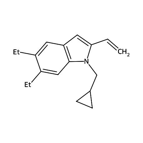 C=Cc1cc2cc(CC)c(CC)cc2n1CC1CC1